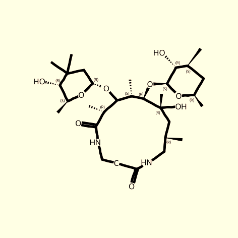 C[C@H]1CNC(=O)CCNC(=O)[C@H](C)C(O[C@H]2CC(C)(C)[C@@H](O)[C@H](C)O2)[C@H](C)[C@@H](O[C@@H]2O[C@H](C)C[C@H](C)[C@H]2O)[C@](C)(O)C1